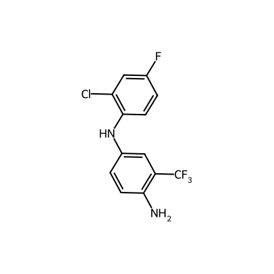 Nc1ccc(Nc2ccc(F)cc2Cl)cc1C(F)(F)F